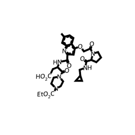 CCOC(=O)N1CCN(C(=O)C(CC(=O)O)NC(=O)c2cc(OCC(=O)N3CCCC3C(=O)NCC3CC3)c3ccc(C)cc3n2)CC1